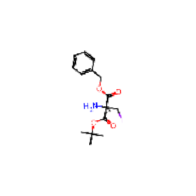 CC(C)(C)OC(=O)[C@@](N)(CI)C(=O)OCc1ccccc1